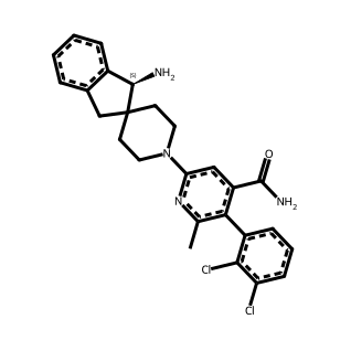 Cc1nc(N2CCC3(CC2)Cc2ccccc2[C@H]3N)cc(C(N)=O)c1-c1cccc(Cl)c1Cl